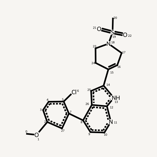 COc1ccc(Cl)c(-c2ccnc3[nH]c(C4=CCN(S(C)(=O)=O)CC4)cc23)c1